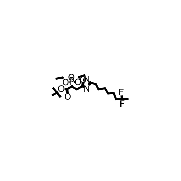 CCOP(=O)(OCC)C(Cc1nc(CCCCCCC(C)(F)F)no1)C(=O)OC(C)(C)C